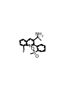 C[C@H](N)c1cc2cccc(F)c2nc1-c1ccccc1S(C)(=O)=O